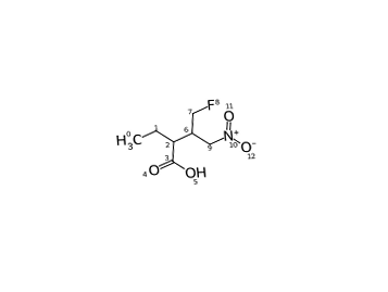 CCC(C(=O)O)C(CF)C[N+](=O)[O-]